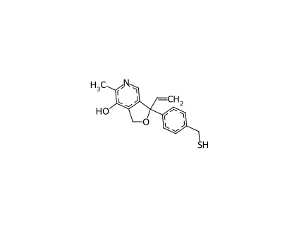 C=CC1(c2ccc(CS)cc2)OCc2c1cnc(C)c2O